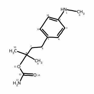 CNc1ccc(CCC(C)(C)OC(N)=O)cc1